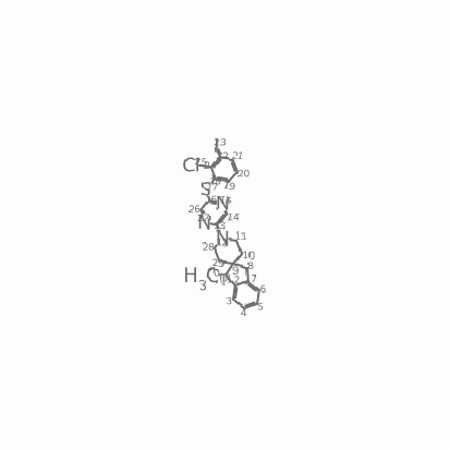 C[C@@H]1c2ccccc2CC12CCN(c1cnc(Sc3cccc(I)c3Cl)cn1)CC2